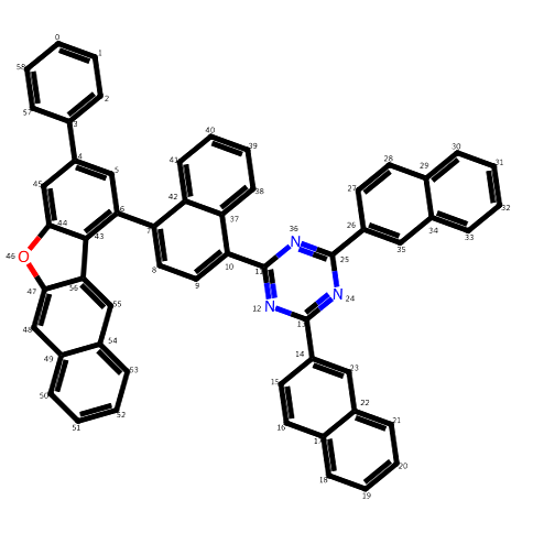 c1ccc(-c2cc(-c3ccc(-c4nc(-c5ccc6ccccc6c5)nc(-c5ccc6ccccc6c5)n4)c4ccccc34)c3c(c2)oc2cc4ccccc4cc23)cc1